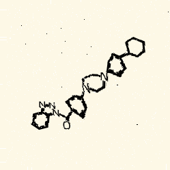 O=C(c1ccc(N2CCN(c3ccc(C4CCCCC4)cc3)CC2)cc1)n1nnc2ccccc21